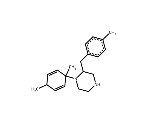 [CH2]C1C=CC(C)(N2CCNCC2Cc2ccc(C)cc2)C=C1